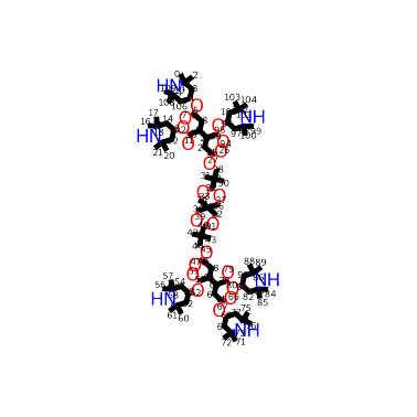 CC1(C)CC(OC(=O)CC(C(=O)OC2CC(C)(C)NC(C)(C)C2)C(CC(=O)OCC(C)(C)C2OCC3(CO2)COC(C(C)(C)COC(=O)CC(C(=O)OC2CC(C)(C)NC(C)(C)C2)C(CC(=O)OC2CC(C)(C)NC(C)(C)C2)C(=O)OC2CC(C)(C)NC(C)(C)C2)OC3)C(=O)OC2CC(C)(C)NC(C)(C)C2)CC(C)(C)N1